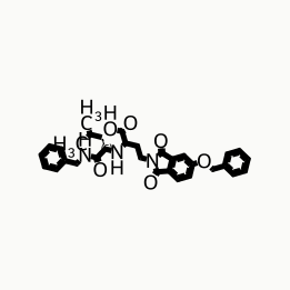 CC(C)C[C@H](NC(CCN1C(=O)c2ccc(OCc3ccccc3)cc2C1=O)C(=O)O)C(=O)NCc1ccccc1